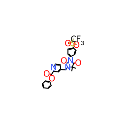 CC1(C)C(=O)N(c2ccc(S(=O)(=O)C(F)(F)F)cc2)C(=O)N1Cc1ccnc(C(=O)Oc2ccccc2)c1